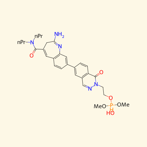 CCCN(CCC)C(=O)C1=Cc2ccc(-c3ccc4c(=O)n(CCO[PH](O)(OC)OC)ncc4c3)cc2N=C(N)C1